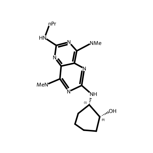 CCCNc1nc(NC)c2nc(N[C@H]3CCCC[C@H]3O)nc(NC)c2n1